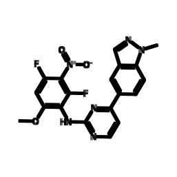 COc1cc(F)c([N+](=O)[O-])c(F)c1Nc1nccc(-c2ccc3c(cnn3C)c2)n1